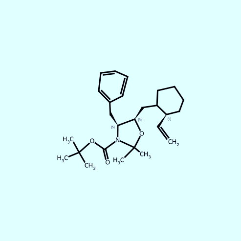 C=C[C@@H]1CCCCC1C[C@H]1OC(C)(C)N(C(=O)OC(C)(C)C)[C@H]1Cc1ccccc1